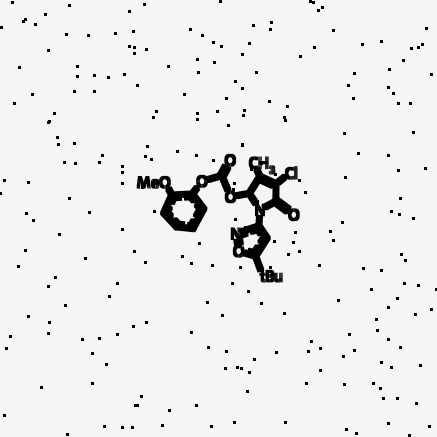 COc1ccccc1OC(=O)OC1C(C)=C(Cl)C(=O)N1c1cc(C(C)(C)C)on1